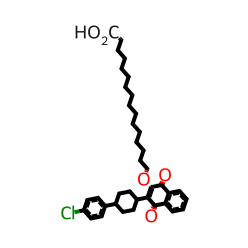 O=C(O)CCCCCCCCCCCCCCCOC1=C(C2CCC(c3ccc(Cl)cc3)CC2)C(=O)c2ccccc2C1=O